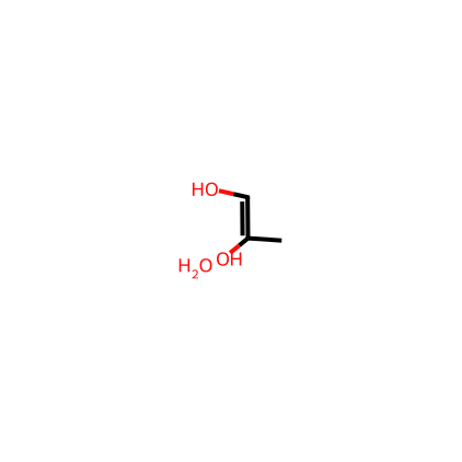 CC(O)=CO.O